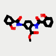 COC(=O)c1cc(NC(=O)c2ccccc2O)ccc1NC(=O)c1ccccc1O